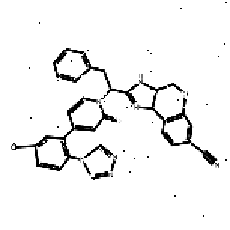 N#Cc1ccc2c(c1)OCC1NC(C(Cc3ccccc3)n3ccc(-c4cc(Cl)ccc4-n4cnnn4)cc3=O)=NC21